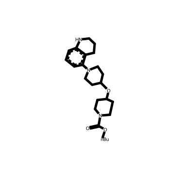 CCCCOC(=O)N1CCC(OC2CCN(c3cccc4c3CCCN4)CC2)CC1